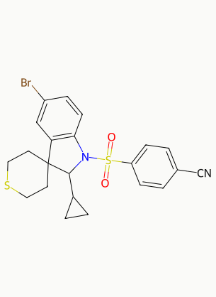 N#Cc1ccc(S(=O)(=O)N2c3ccc(Br)cc3C3(CCSCC3)C2C2CC2)cc1